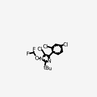 CC(C)(C)c1nc(-c2ccc(Cl)cc2Cl)c(Cl)n1OC(F)F